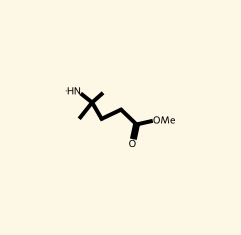 COC(=O)CCC(C)(C)[NH]